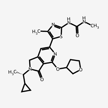 CNC(=O)Nc1nc(C)c(-c2cc3c(c(OC4CCOC4)n2)C(=O)N([C@@H](C)C2CC2)C3)s1